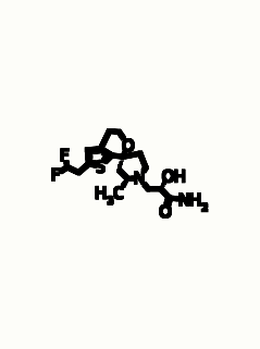 C[C@H]1C[C@@]2(CCN1C[C@H](O)C(N)=O)OCCc1cc(CC(F)F)sc12